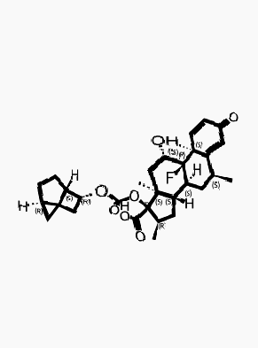 C[C@@H]1C[C@H]2[C@@H]3C[C@H](C)C4=CC(=O)C=C[C@]4(C)[C@@]3(F)[C@@H](O)C[C@]2(C)[C@@]1(OC(=O)O[C@@H]1CC23C[C@H]2CC[C@H]13)C(=O)O